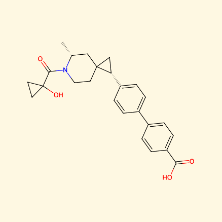 C[C@@H]1CC2(CCN1C(=O)C1(O)CC1)C[C@@H]2c1ccc(-c2ccc(C(=O)O)cc2)cc1